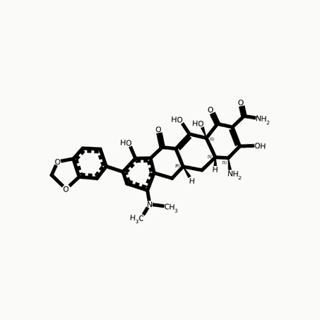 CN(C)c1cc(-c2ccc3c(c2)OCO3)c(O)c2c1C[C@H]1C[C@H]3[C@H](N)C(O)=C(C(N)=O)C(=O)[C@@]3(O)C(O)=C1C2=O